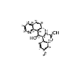 O=C(O)NC(c1ccc(F)cc1)C(O)c1cccc2cccnc12